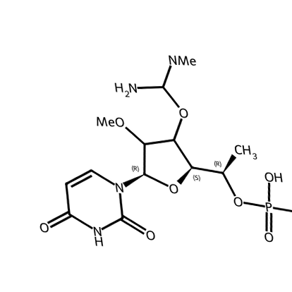 CNC(N)OC1C(OC)[C@H](n2ccc(=O)[nH]c2=O)O[C@@H]1[C@@H](C)OP(=O)(O)O